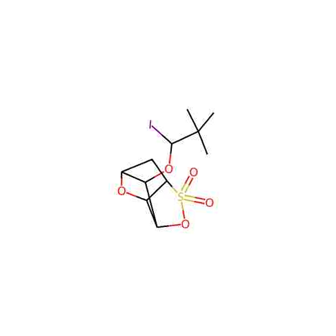 CC(C)(C)C(I)OC1C2CC3C(O2)C1OS3(=O)=O